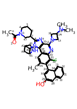 CC(=O)N1CCCC(c2nc3c(N4CC(N(C)C)C4)nc4c(F)c(-c5cc(O)cc6ccccc56)c(C)cc4c3n2C2C3CNC2C3)C1